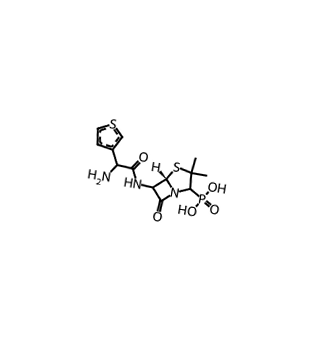 CC1(C)S[C@H]2C(NC(=O)C(N)c3ccsc3)C(=O)N2C1P(=O)(O)O